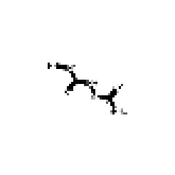 N=NC(=S)N[N]C(N)=S